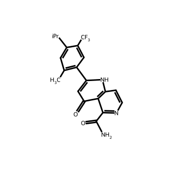 Cc1cc(C(C)C)c(C(F)(F)F)cc1-c1cc(=O)c2c(C(N)=O)nccc2[nH]1